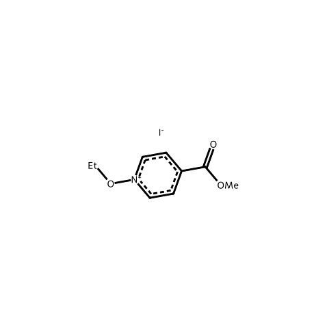 CCO[n+]1ccc(C(=O)OC)cc1.[I-]